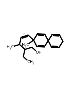 CCC(CO)C(C)/C=C\C1(C)C=CC2(C=CCC=C2)C=C1